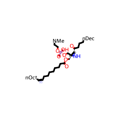 CCCCCCCC/C=C\CCCCCCCC(=O)OC[C@@]1(COP(=O)(O)OCCNC)N[C@H]1C(=O)CCCCCCCCCCCCC